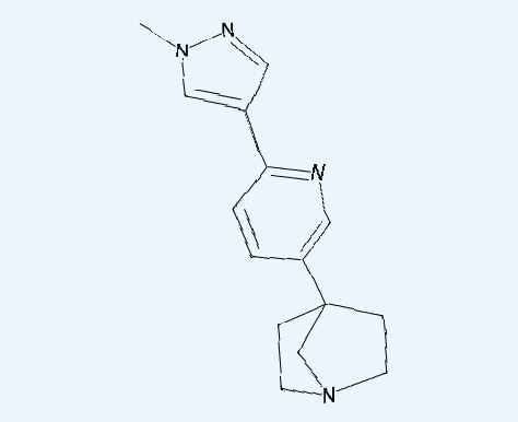 Cn1cc(-c2ccc(C34CCN(CC3)C4)cn2)cn1